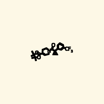 CC1(C)OB(C2=CCN(C(=O)C3(c4cccc(C(F)(F)F)c4)CC3)CC2)OC1(C)C